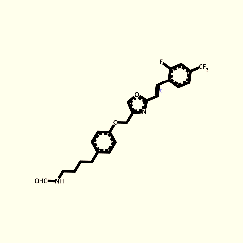 O=CNCCCCc1ccc(OCc2coc(/C=C/c3ccc(C(F)(F)F)cc3F)n2)cc1